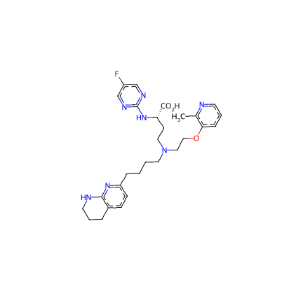 Cc1ncccc1OCCN(CCCCc1ccc2c(n1)NCCC2)CC[C@H](Nc1ncc(F)cn1)C(=O)O